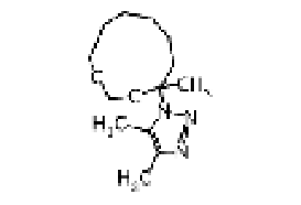 Cc1nnn(C2(C)CCCCCCCCC2)c1C